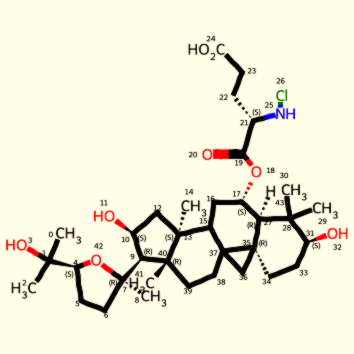 CC(C)(O)[C@@H]1CC[C@](C)([C@H]2[C@@H](O)C[C@@]3(C)C4C[C@H](OC(=O)[C@H](CCC(=O)O)NCl)[C@H]5C(C)(C)[C@@H](O)CC[C@@]56CC46CC[C@]23C)O1